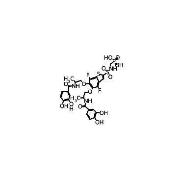 CC(COc1c(OCC(C)NC(=O)c2ccc(O)c(O)c2)c(F)c2sc(S(=O)(=O)NCP(=O)(O)O)cc2c1F)NC(=O)c1ccc(O)c(O)c1